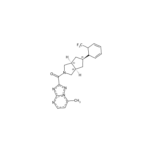 Cc1ccnc2nc(C(=O)N3C[C@H]4C[C@@H](C5C=CC=CC5C(F)(F)F)C[C@H]4C3)nn12